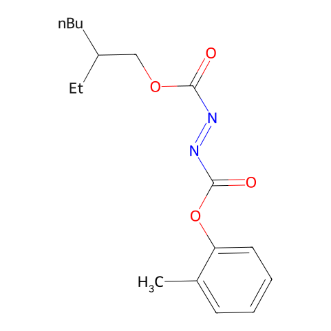 CCCCC(CC)COC(=O)N=NC(=O)Oc1ccccc1C